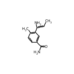 C/C=C(\N)c1cc(C(N)=O)ccc1C